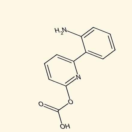 Nc1ccccc1-c1cccc(OC(=O)O)n1